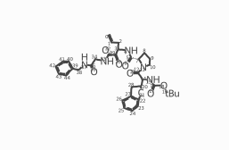 C=CCC(NC(=O)[C@@H]1CCCN1C(=O)[C@@H](NC(=O)OC(C)(C)C)C1Cc2ccccc2C1)C(=O)C(=O)NCC(=O)NCc1ccccc1